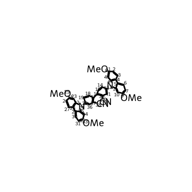 COc1ccc2c3ccc(OC)cc3n(-c3ccc(-c4ccc(-n5c6cc(OC)ccc6c6ccc(OC)cc65)cc4C#N)c(C#N)c3)c2c1